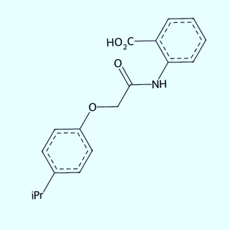 CC(C)c1ccc(OCC(=O)Nc2ccccc2C(=O)O)cc1